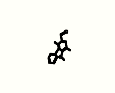 Cc1c(C=O)cc(C)c2c1c1ccccc1n2C